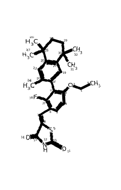 CCOc1ccc(/C=C2\SC(=O)NC2=O)c(F)c1-c1cc2c(cc1C)C(C)(C)CCC2(C)C